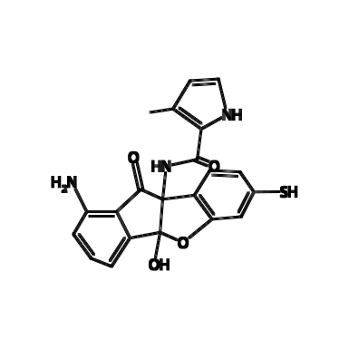 Cc1cc[nH]c1C(=O)NC12C(=O)c3c(N)cccc3C1(O)Oc1cc(S)ccc12